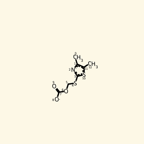 Cc1nc(SCOC([O])=O)sc1C